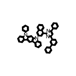 c1ccc(-c2cccc(-c3cc(-c4ccccc4)nc(-c4cc(-n5c6ccccc6c6cc7c8ccccc8n(-c8ccccc8)c7cc65)cc5ccccc45)n3)c2)cc1